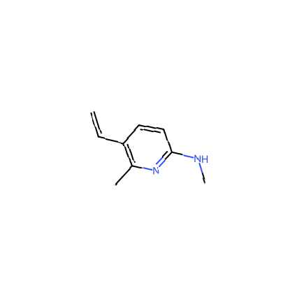 C=Cc1ccc(NC)nc1C